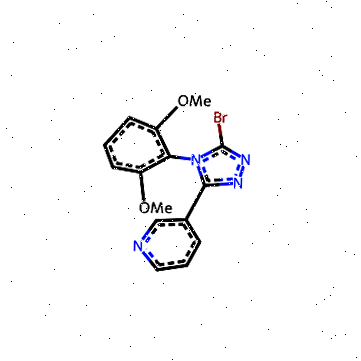 COc1cccc(OC)c1-n1c(Br)nnc1-c1cccnc1